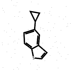 c1cc2cc(C3CC3)ccc2s1